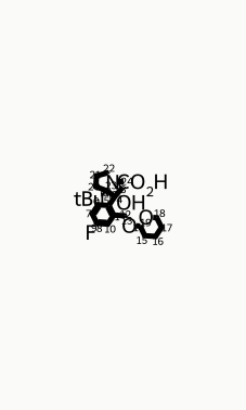 CC(C)(C)[C@@]1(C(C)(O)c2ccc(F)cc2COC2CCCCO2)CCCN1C(=O)O